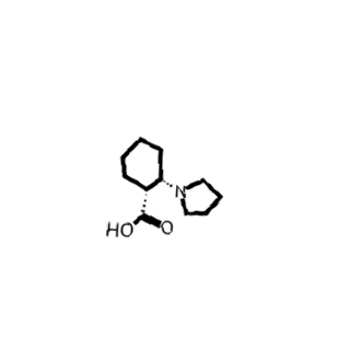 O=C(O)[C@@H]1CCCC[C@@H]1N1CCCC1